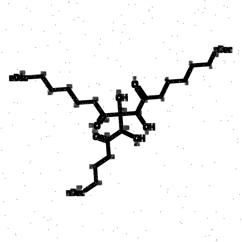 CCCCCCCCCCCCCCCC(=O)C(O)C(O)(C(=O)CCCCCCCCCCCCCCC)C(O)C(=O)CCCCCCCCCCCCC